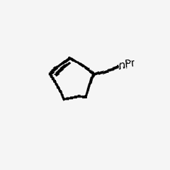 [CH2]CCC1C=CCC1